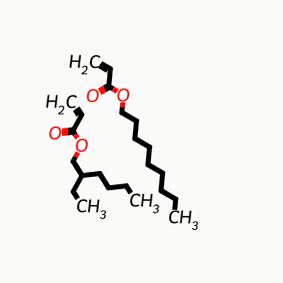 C=CC(=O)OCC(CC)CCCC.C=CC(=O)OCCCCCCCCC